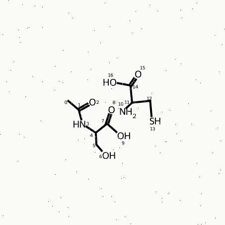 CC(=O)NC(CO)C(=O)O.NC(CS)C(=O)O